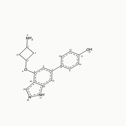 NC1CC(Oc2cc(-c3ccc(O)cc3)cc3[nH]ncc23)C1